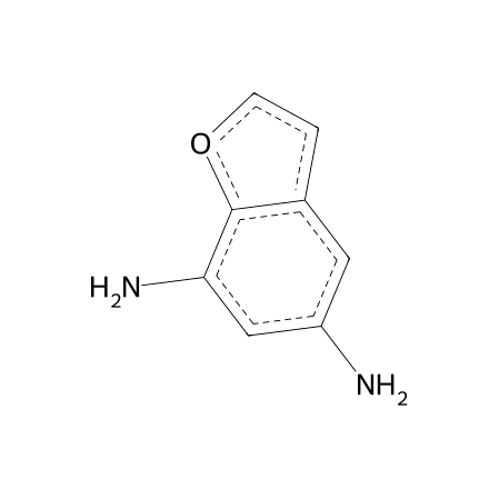 Nc1cc(N)c2occc2c1